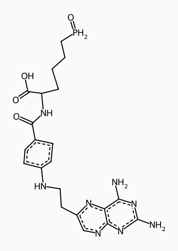 Nc1nc(N)c2nc(CCNc3ccc(C(=O)NC(CCCC[PH2]=O)C(=O)O)cc3)cnc2n1